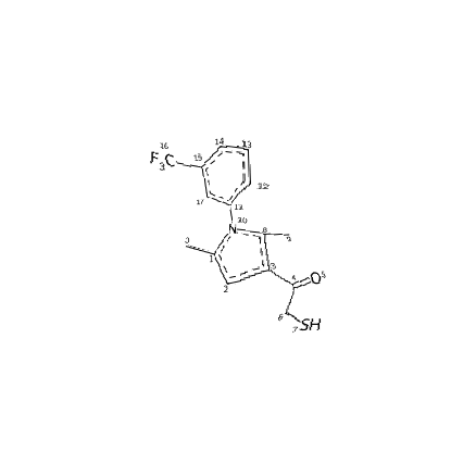 Cc1cc(C(=O)CS)c(C)n1-c1cccc(C(F)(F)F)c1